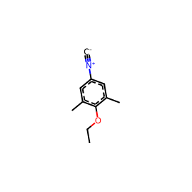 [C-]#[N+]c1cc(C)c(OCC)c(C)c1